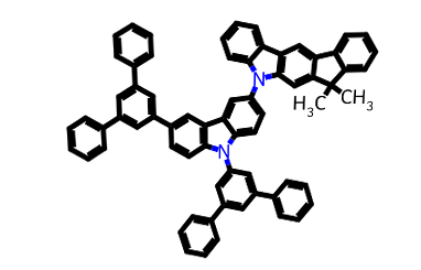 CC1(C)c2ccccc2-c2cc3c4ccccc4n(-c4ccc5c(c4)c4cc(-c6cc(-c7ccccc7)cc(-c7ccccc7)c6)ccc4n5-c4cc(-c5ccccc5)cc(-c5ccccc5)c4)c3cc21